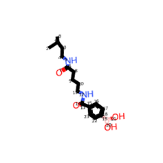 CC(C)CCNC(=O)CCCCNC(=O)c1ccc(B(O)O)cc1